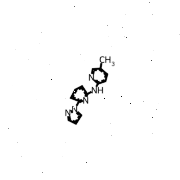 Cc1ccc(Nc2cccc(-n3cccn3)n2)nc1